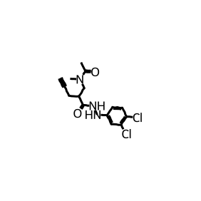 C#CCC(CN(C)C(C)=O)C(=O)NNc1ccc(Cl)c(Cl)c1